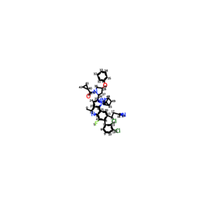 Cc1nc2c(F)c(-c3cccc(Cl)c3Cl)c(CCC#N)cc2c2c1cc(C1CC(Oc3ccccc3)CN1C(=O)C1CC1)n2C1C2CNC1C2